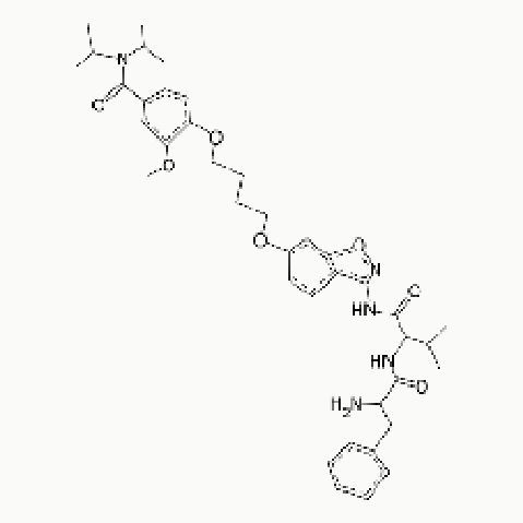 COc1cc(C(=O)N(C(C)C)C(C)C)ccc1OCCCCOc1ccc2c(NC(=O)C(NC(=O)C(N)Cc3ccccc3)C(C)C)noc2c1